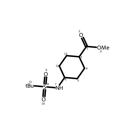 COC(=O)C1CCC(NS(=O)(=O)C(C)(C)C)CC1